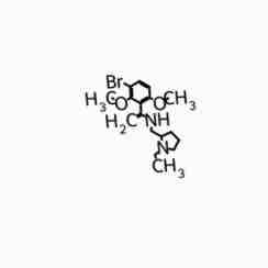 C=C(NCC1CCCN1CC)c1c(OC)ccc(Br)c1OC